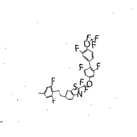 Cc1cc(F)c(CCc2ccc3nc(C(F)(F)Oc4cc(F)c(-c5ccc(OC(F)(F)F)c(F)c5)c(F)c4)sc3c2)c(F)c1